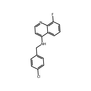 Fc1cccc2c(NCc3ccc(Cl)cc3)ccnc12